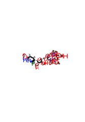 O=c1ccc([C@@H]2O[C@H](COP3(=O)CP(=O)(O)OP(=O)(O)O3)C(O)C2O)c(F)[nH]1